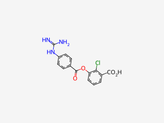 N=C(N)Nc1ccc(C(=O)Oc2cccc(C(=O)O)c2Cl)cc1